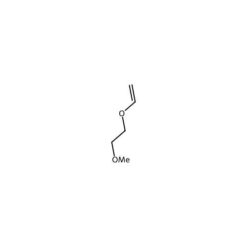 [CH2]OCCOC=C